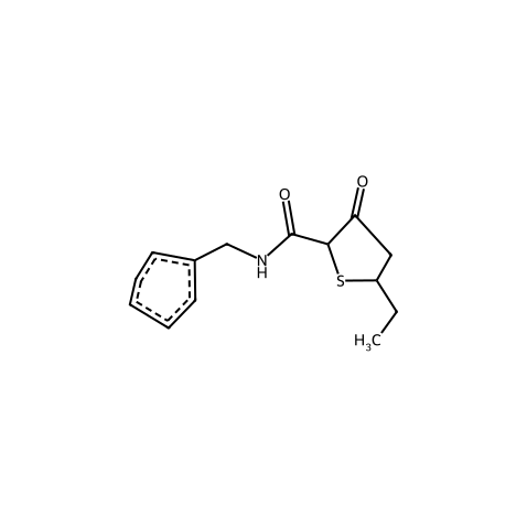 CCC1CC(=O)C(C(=O)NCc2ccccc2)S1